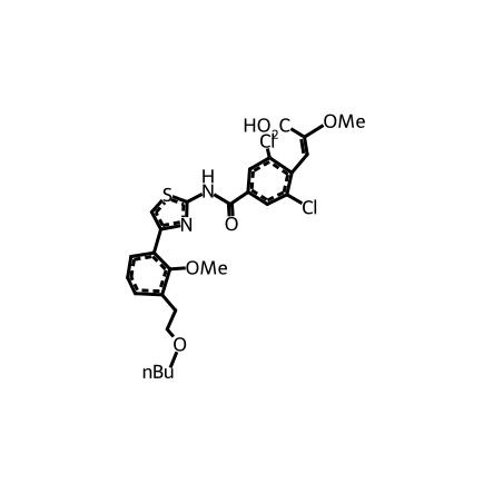 CCCCOCCc1cccc(-c2csc(NC(=O)c3cc(Cl)c(C=C(OC)C(=O)O)c(Cl)c3)n2)c1OC